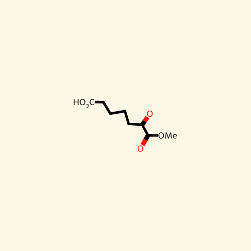 COC(=O)C(=O)CCCCC(=O)O